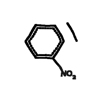 CC.O=[N+]([O-])c1ccccc1